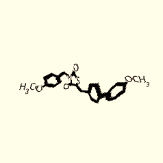 COc1ccc(CN2C(=O)S/C(=C\c3ccc(-c4cccc(OC)c4)cc3)C2=O)cc1